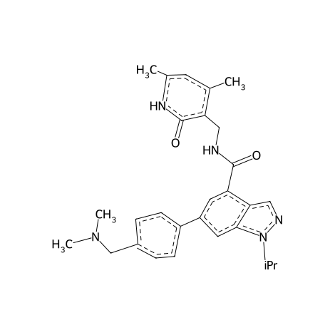 Cc1cc(C)c(CNC(=O)c2cc(-c3ccc(CN(C)C)cc3)cc3c2cnn3C(C)C)c(=O)[nH]1